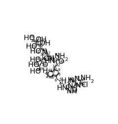 N=C(NCCCCc1ccc(CC[C@@H](NCCCN(CC(O)C(O)C(O)C(O)CO)CC(O)C(O)C(O)C(O)CO)C(N)=O)c2ccccc12)NC(=O)c1nc(Cl)c(N)nc1N